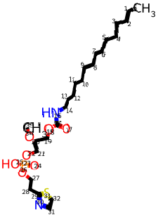 CCCCCCCCCCCCCCCNC(=O)OCC(COP(=O)(O)OCCc1nccs1)OC